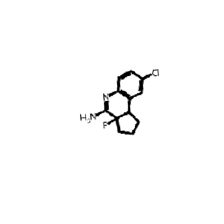 NC1=Nc2ccc(Cl)cc2C2CCCC12F